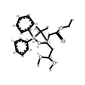 CCOC(=O)C[C@@H](CC(OC)OC)O[Si](c1ccccc1)(c1ccccc1)C(C)(C)C